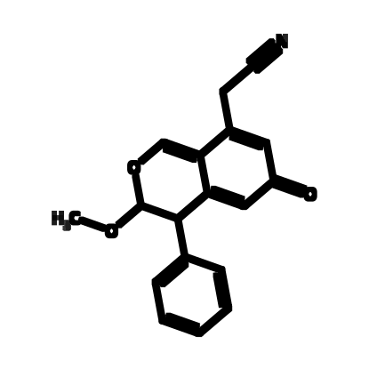 COC1OC=C2C(CC#N)=CC(=O)C=C2C1c1ccccc1